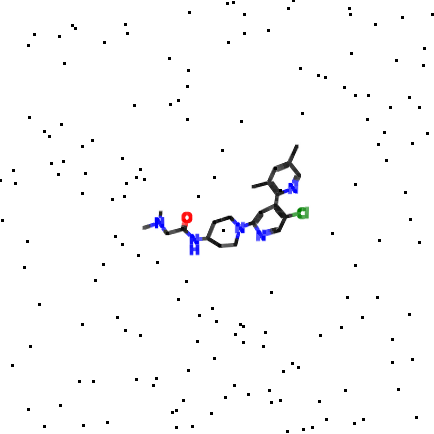 Cc1cnc(-c2cc(N3CCC(NC(=O)CN(C)C)CC3)ncc2Cl)c(C)c1